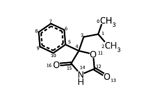 CC(C)CC1(c2ccccc2)OC(=O)NC1=O